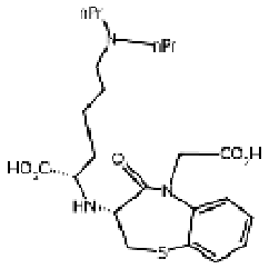 CCCN(CCC)CCCC[C@H](N[C@H]1CSc2ccccc2N(CC(=O)O)C1=O)C(=O)O